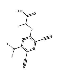 N#Cc1cc(C#N)c(N(F)F)nc1SC(F)C(N)=O